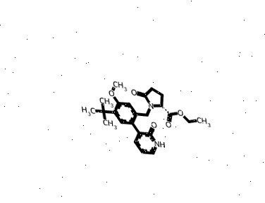 CCOC(=O)[C@H]1CCC(=O)N1Cc1cc(OC)c(C(C)(C)C)cc1-c1ccc[nH]c1=O